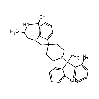 Cc1ccccc1C(CC=O)(c1ccccc1C)N1CCC(CN2CC(C)NC(C)C2)(c2ccccc2)CC1